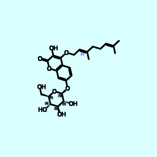 CC(C)=CCC/C(C)=C/COc1c(O)c(=O)oc2cc(O[C@@H]3O[C@H](CO)[C@@H](O)[C@H](O)[C@H]3O)ccc12